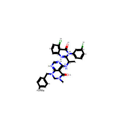 COc1ccc(CN2CN(C)C(=O)c3c(NC(C)c4nc5cccc(Cl)c5c(=O)n4-c4cccc(F)c4)ncnc32)cc1